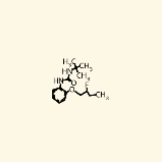 CCC(F)COc1ccccc1NC(=O)NC(C)(C)C